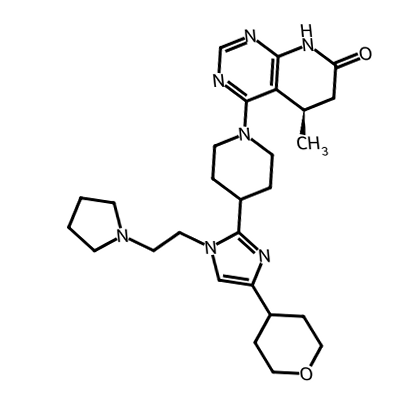 C[C@@H]1CC(=O)Nc2ncnc(N3CCC(c4nc(C5CCOCC5)cn4CCN4CCCC4)CC3)c21